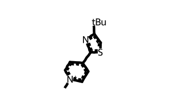 C[n+]1ccc(-c2nc(C(C)(C)C)cs2)cc1